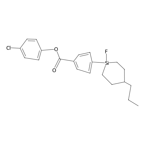 CCCC1CC[Si](F)(c2ccc(C(=O)Oc3ccc(Cl)cc3)cc2)CC1